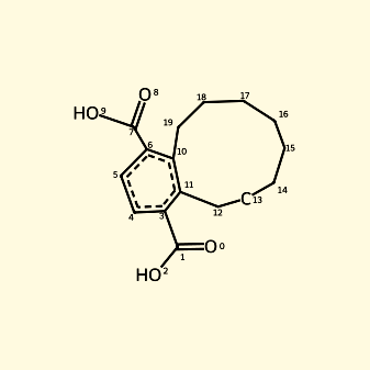 O=C(O)c1ccc(C(=O)O)c2c1CCCCCCCC2